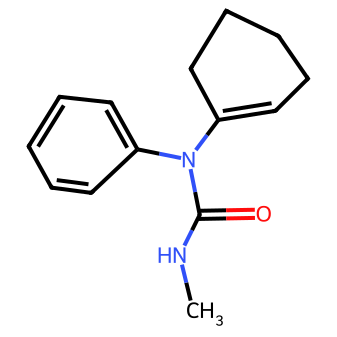 CNC(=O)N(C1=CCCCC1)c1ccccc1